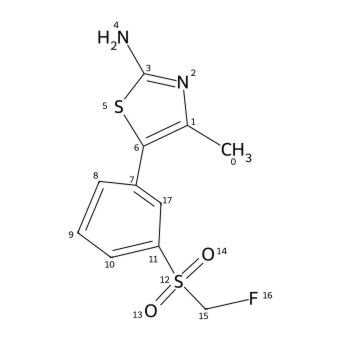 Cc1nc(N)sc1-c1cccc(S(=O)(=O)CF)c1